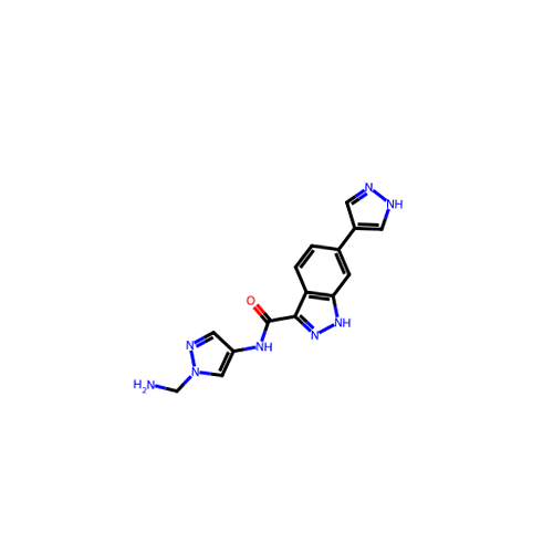 NCn1cc(NC(=O)c2n[nH]c3cc(-c4cn[nH]c4)ccc23)cn1